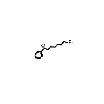 CC(C)CCCCCCC(=O)c1ccccc1